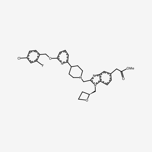 COC(=O)Cc1ccc2c(c1)nc(CN1CCC(c3cccc(OCc4ccc(Cl)cc4F)n3)CC1)n2C[C@@H]1CCO1